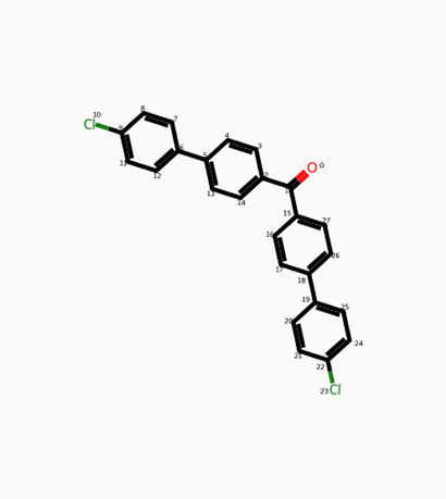 O=C(c1ccc(-c2ccc(Cl)cc2)cc1)c1ccc(-c2ccc(Cl)cc2)cc1